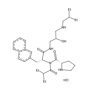 CCC(CC)CNCC(O)CNC(=O)[C@@H](Cc1ccc2ccccc2c1)N(C(=O)C(CC)CC)C(=O)[C@@H]1CCCN1.Cl